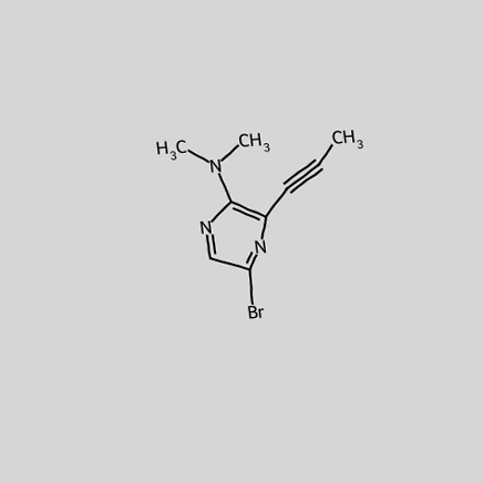 CC#Cc1nc(Br)cnc1N(C)C